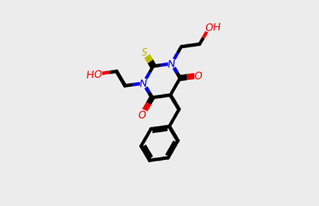 O=C1C(Cc2ccccc2)C(=O)N(CCO)C(=S)N1CCO